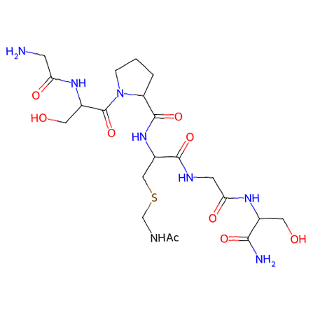 CC(=O)NCSCC(NC(=O)C1CCCN1C(=O)C(CO)NC(=O)CN)C(=O)NCC(=O)NC(CO)C(N)=O